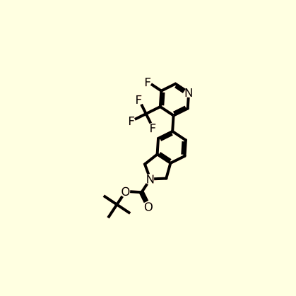 CC(C)(C)OC(=O)N1Cc2ccc(-c3cncc(F)c3C(F)(F)F)cc2C1